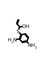 C=CC(O)Sc1ccc(N)cc1N